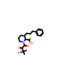 CCC(C)(C)C(=O)C(=O)N1CCCC(CCCc2ccccc2)C1C(O)=S